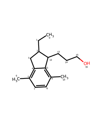 CCC1Cc2c(C)ccc(C)c2C1CCCO